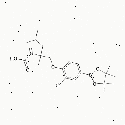 CC(C)CC(C)(COc1ccc(B2OC(C)(C)C(C)(C)O2)cc1Cl)NC(=O)O